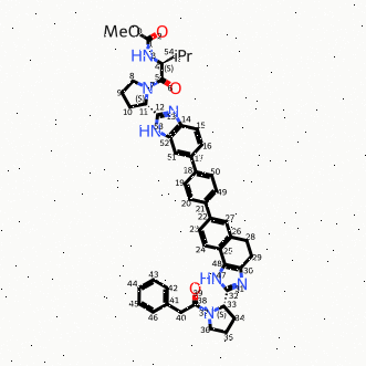 COC(=O)N[C@H](C(=O)N1CCC[C@H]1c1nc2ccc(-c3ccc(-c4ccc5c(c4)CCc4nc([C@@H]6CCCN6C(=O)Cc6ccccc6)[nH]c4-5)cc3)cc2[nH]1)C(C)C